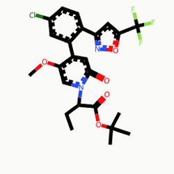 CCC(C(=O)OC(C)(C)C)n1cc(OC)c(-c2cc(Cl)ccc2-c2cc(C(F)(F)F)on2)cc1=O